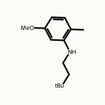 COc1ccc(C)c(NCCC(C)(C)C)c1